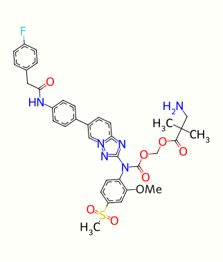 COc1cc(S(C)(=O)=O)ccc1N(C(=O)OCOC(=O)C(C)(C)CN)c1nc2ccc(-c3ccc(NC(=O)Cc4ccc(F)cc4)cc3)cn2n1